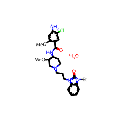 CCn1c(=O)n(CCCN2CCC(NC(=O)c3cc(Cl)c(N)cc3OC)C(OC)C2)c2ccccc21.O